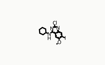 COc1cc2c(NC3CCCCC3)nc(Cl)nc2cc1I